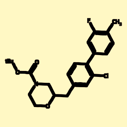 Cc1ccc(-c2ccc(CC3CN(C(=O)OC(C)(C)C)CCO3)cc2Cl)cc1F